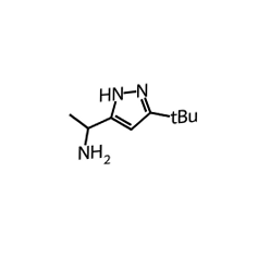 CC(N)c1cc(C(C)(C)C)n[nH]1